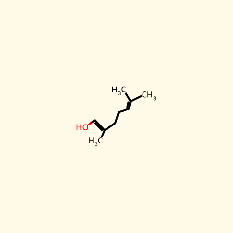 CC(C)=CCCC(C)=CO